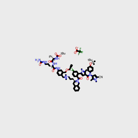 C#CCOCc1cc(NC(=O)[C@H](CCCNC(N)=O)NC(=O)[C@@H](NC(=O)OC(C)(C)C)C(C)C)ccc1C[N+](C)(C)CCC[C@@H]1Cc2ccccc2CN1C(=O)c1ccc(Cl)cc1-c1cc(C(=O)N(c2ccc(O[Si](C)(C)C(C)(C)C)cc2)c2cc(C#N)n(C)c2C)c(C)n1C.O=C([O-])C(F)(F)F